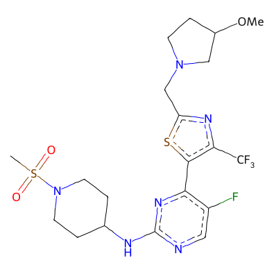 COC1CCN(Cc2nc(C(F)(F)F)c(-c3nc(NC4CCN(S(C)(=O)=O)CC4)ncc3F)s2)C1